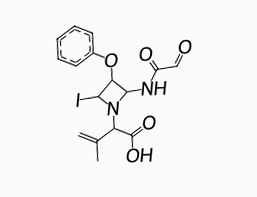 C=C(C)C(C(=O)O)N1C(I)C(Oc2ccccc2)C1NC(=O)C=O